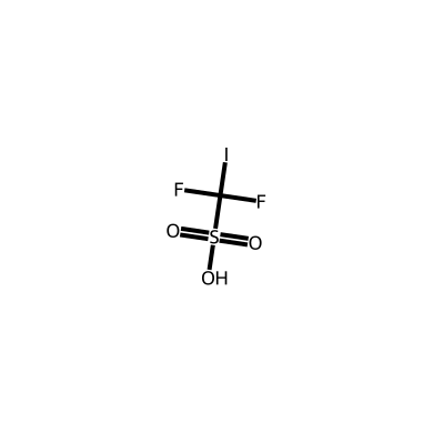 O=S(=O)(O)C(F)(F)I